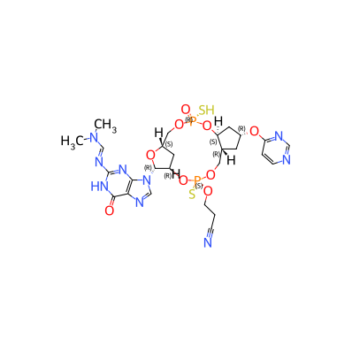 CN(C)C=Nc1nc2c(ncn2[C@@H]2O[C@@H]3CO[P@@](=O)(S)O[C@H]4C[C@H](Oc5ccncn5)C[C@@H]4CO[P@@](=S)(OCCC#N)O[C@@H]2C3)c(=O)[nH]1